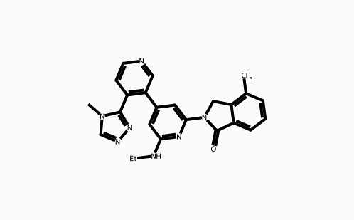 CCNc1cc(-c2cnccc2-c2nncn2C)cc(N2Cc3c(cccc3C(F)(F)F)C2=O)n1